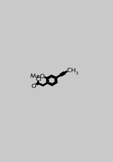 CC#Cc1ccc(CC(=O)Cl)c(OC)c1